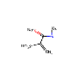 C=C(C(=O)[N-]C(C)CC)S(=O)(=O)O.[Na+]